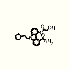 NC(=O)c1cccc2c1c1c(OC(=O)CO)cccc1n2CCC1CCCC1